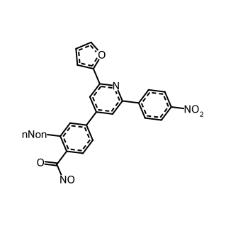 CCCCCCCCCc1cc(-c2cc(-c3ccc([N+](=O)[O-])cc3)nc(-c3ccco3)c2)ccc1C(=O)N=O